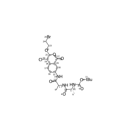 CC(NC(=O)[C@@H](C)NC(=O)OC(C)(C)C)C(=O)Nc1ccc2c(Cl)c(OCCBr)oc(=O)c2c1